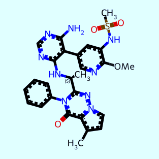 COc1ncc(-c2c(N)ncnc2N[C@@H](C)c2nn3ccc(C)c3c(=O)n2-c2ccccc2)cc1NS(C)(=O)=O